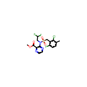 COC(=O)c1nccnc1N(CC(F)F)S(=O)(=O)Cc1c(F)ccc(C)c1Cl